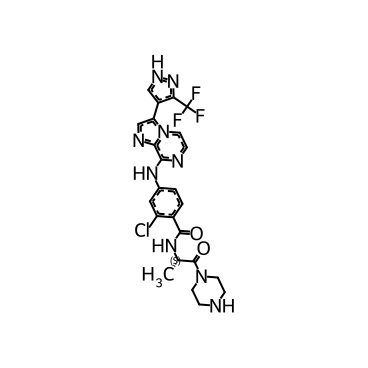 C[C@H](NC(=O)c1ccc(Nc2nccn3c(-c4c[nH]nc4C(F)(F)F)cnc23)cc1Cl)C(=O)N1CCNCC1